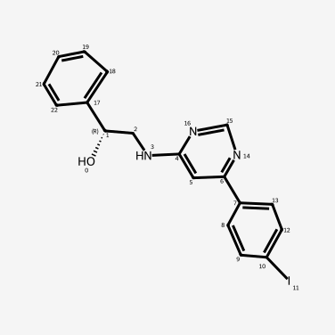 O[C@@H](CNc1cc(-c2ccc(I)cc2)ncn1)c1ccccc1